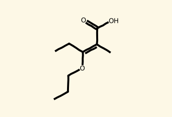 CCCO/C(CC)=C(\C)C(=O)O